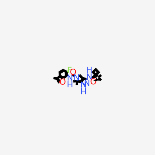 Cc1coc2c(NC(=O)N3Cc4c(NC(=O)C5([Si](C)(C)C)CCC5)n[nH]c4C3(C)C)c(F)ccc12